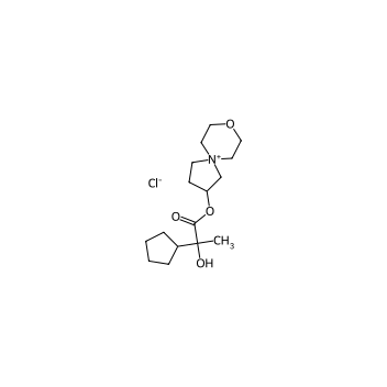 CC(O)(C(=O)OC1CC[N+]2(CCOCC2)C1)C1CCCC1.[Cl-]